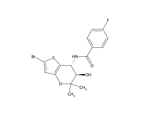 CC1(C)Oc2cc(Br)sc2[C@H](NC(=O)c2ccc(F)cc2)[C@H]1O